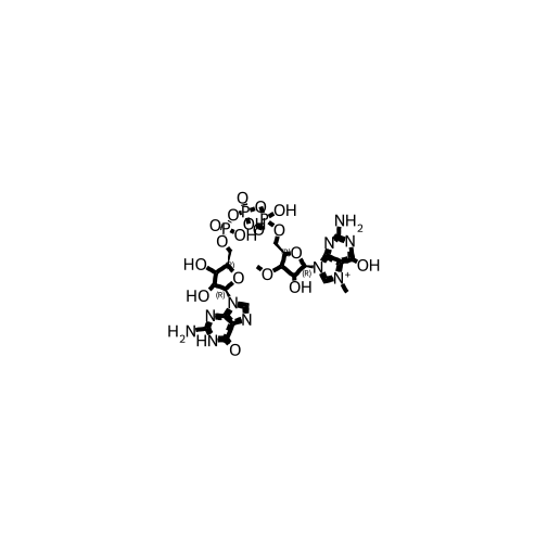 COC1C(O)[C@H](n2c[n+](C)c3c(O)nc(N)nc32)O[C@@H]1COP(=O)(O)OP(=O)(O)OP(=O)(O)OC[C@H]1O[C@@H](n2cnc3c(=O)[nH]c(N)nc32)C(O)C1O